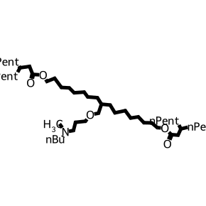 CCCCCC(CCCCC)CC(=O)OCCCCCCCCC(CCCCCCCCOC(=O)CC(CCCCC)CCCCC)COCCCN(C)CCCC